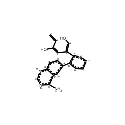 C=C/C(O)=C\C(=C/O)c1ncccc1-c1ccc2ncnc(N)c2c1